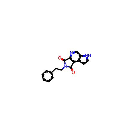 O=C1c2ncc3[nH]ccc3c2C(=O)N1CCc1ccccc1